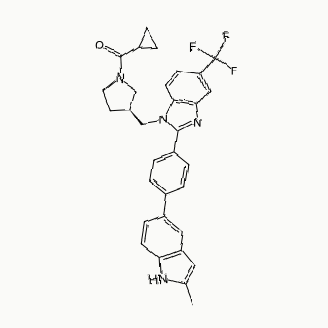 Cc1cc2cc(-c3ccc(-c4nc5cc(C(F)(F)F)ccc5n4C[C@H]4CCN(C(=O)C5CC5)C4)cc3)ccc2[nH]1